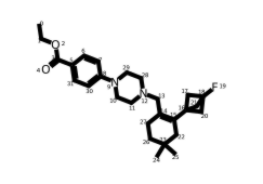 CCOC(=O)c1ccc(N2CCN(CC3=C(C45CC(F)(C4)C5)CC(C)(C)CC3)CC2)cc1